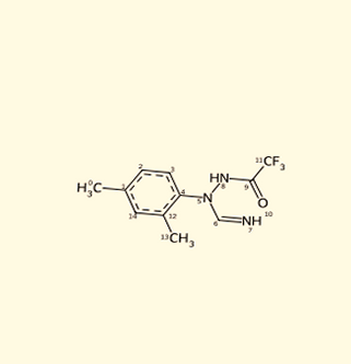 Cc1ccc(N(C=N)NC(=O)C(F)(F)F)c(C)c1